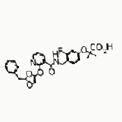 CC(C)(Oc1ccc(CNC(=O)c2cccnc2OC2=COC(Cc3ccccc3)O2)c(F)c1)C(=O)O